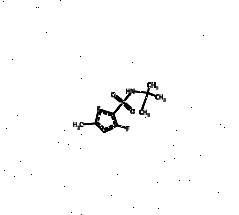 Cc1cc(F)c(S(=O)(=O)NC(C)(C)C)s1